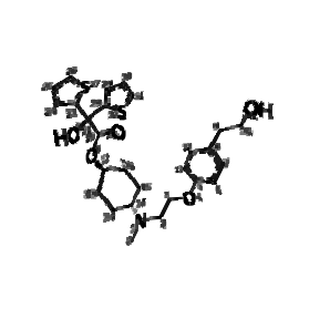 CN(CCOc1ccc(CCO)cc1)[C@H]1CC[C@H](OC(=O)C(O)(c2cccs2)c2cccs2)CC1